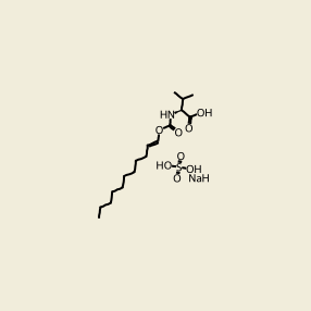 CCCCCCCCCC=COC(=O)N[C@H](C(=O)O)C(C)C.O=S(=O)(O)O.[NaH]